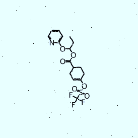 CCC(OC(=O)C1CC=C(OS(=O)(=O)C(F)(F)F)CC1)Oc1ccccn1